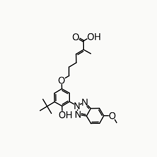 COc1ccc2nn(-c3cc(OCCC/C=C(\C)C(=O)O)cc(C(C)(C)C)c3O)nc2c1